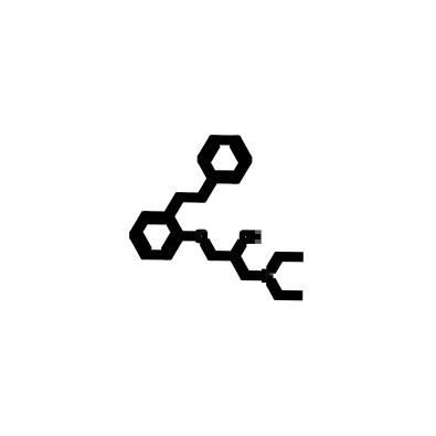 CCN(CC)CC(O)COc1ccccc1CCc1ccccc1